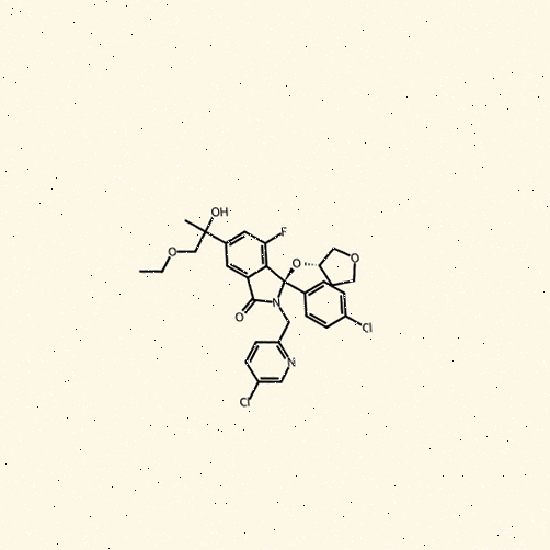 CCOCC(C)(O)c1cc(F)c2c(c1)C(=O)N(Cc1ccc(Cl)cn1)[C@@]2(O[C@H]1CCOC1)c1ccc(Cl)cc1